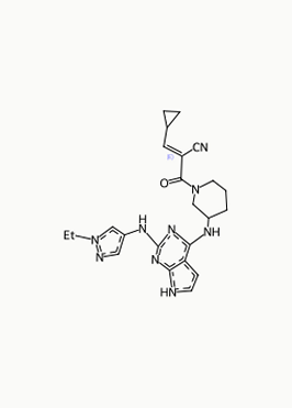 CCn1cc(Nc2nc(NC3CCCN(C(=O)/C(C#N)=C/C4CC4)C3)c3cc[nH]c3n2)cn1